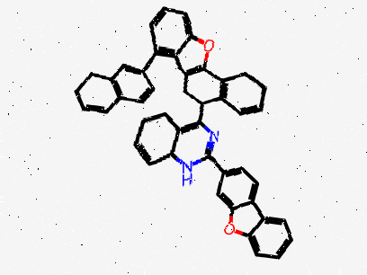 C1=CC2=C(CC1)c1oc3cccc(-c4ccc5c(c4)CCC=C5)c3c1CC2C1=C2CCC=CC2NC(c2ccc3c(c2)oc2ccccc23)=N1